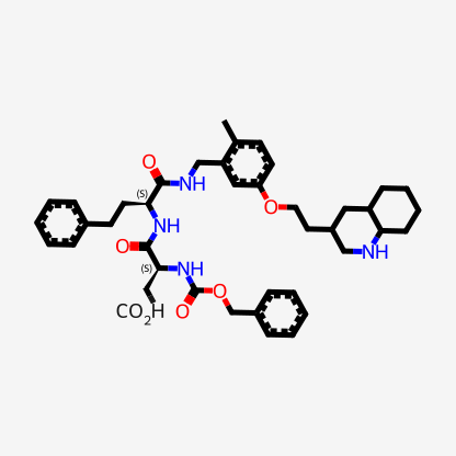 Cc1ccc(OCCC2CNC3CCCCC3C2)cc1CNC(=O)[C@H](CCc1ccccc1)NC(=O)[C@H](CC(=O)O)NC(=O)OCc1ccccc1